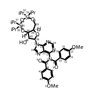 COc1ccc(C(=O)N(C(=O)c2ccc(OC)cc2)c2ncnc3c2ncn3[C@@H]2O[C@@H]3CO[Si](C(C)C)(C(C)C)O[Si](C(C)C)(C(C)C)O[C@H]3[C@H]2O)cc1